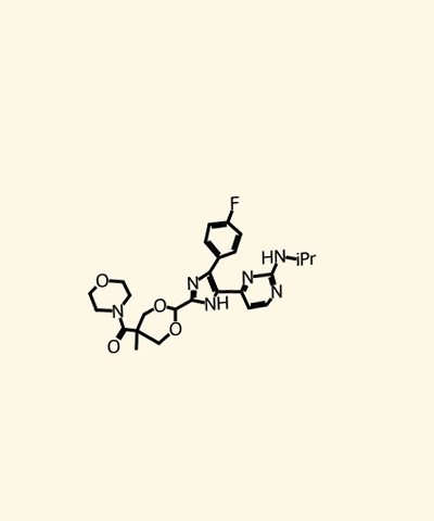 CC(C)Nc1nccc(-c2[nH]c(C3OCC(C)(C(=O)N4CCOCC4)CO3)nc2-c2ccc(F)cc2)n1